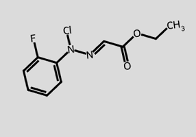 CCOC(=O)C=NN(Cl)c1ccccc1F